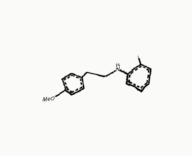 COc1ccc(CCNc2ccccc2I)cc1